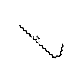 CCCCC/C=C\C/C=C\CCCCCCCCOC[C@@H](COC=CCCCCCC)N(C)C